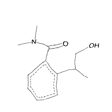 CC(CO)c1ccccc1C(=O)N(C)C